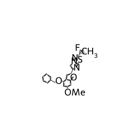 COc1cc(OCc2ccccc2)c2cc(-c3cn4nc([C@H](C)F)sc4n3)oc2c1